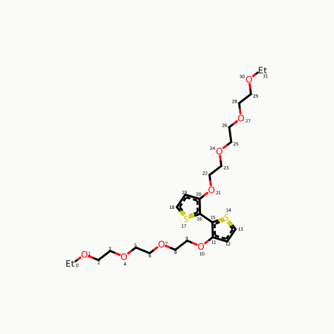 CCOCCOCCOCCOc1ccsc1-c1sccc1OCCOCCOCCOCC